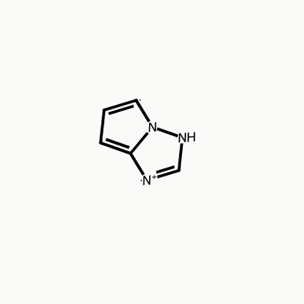 [c]1ccc2n1NC=[N+]2